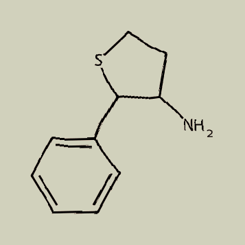 NC1CCSC1c1ccccc1